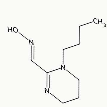 CCCCN1CCCN=C1C=NO